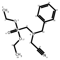 CCOP(=O)(CN(CC#N)Cc1ccccc1)OCC